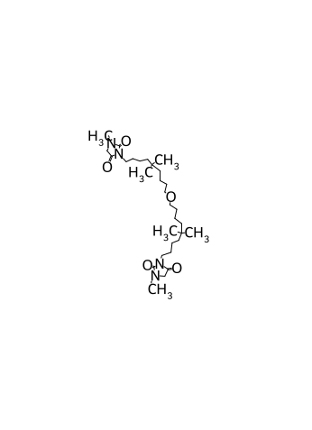 CCN1CC(=O)N(CCCCC(C)(C)CCCCOCCCCC(C)(C)CCCCN2C(=O)CN(C)C2=O)C1=O